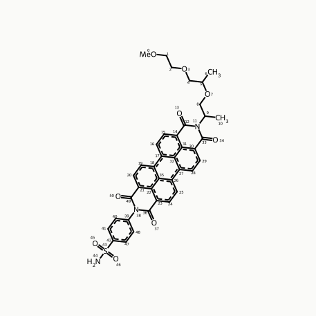 COCCOCC(C)OCC(C)N1C(=O)c2ccc3c4ccc5c6c(ccc(c7ccc(c2c37)C1=O)c64)C(=O)N(c1ccc(S(N)(=O)=O)cc1)C5=O